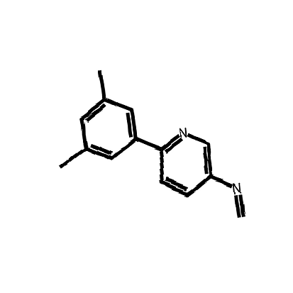 C=Nc1ccc(-c2cc(C)cc(C)c2)nc1